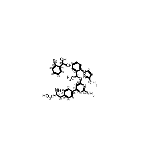 Cc1ccn(-c2ccccc2[C@@H](Oc2cc(-c3ccc(C[C@H](N)C(=O)O)cc3)nc(N)n2)C(F)(F)F)n1.OC(c1ccccc1Br)C(F)(F)F